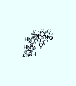 COCCCN1C(=O)C(C)(C)Cc2ccc(N(C(=O)[C@H]3CNC[C@@H](C(=O)NC(CO)CC(C)C)C3)C3CC3)cc21